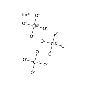 [O-][Cl+3]([O-])([O-])[O-].[O-][Cl+3]([O-])([O-])[O-].[O-][Cl+3]([O-])([O-])[O-].[Tm+3]